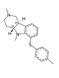 Cc1ccc(Sc2cccc3c2N(C)[C@@H]2CCN(C)C[C@@H]32)cc1